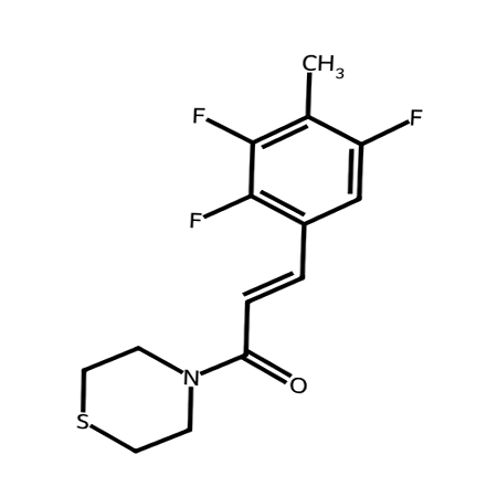 Cc1c(F)cc(C=CC(=O)N2CCSCC2)c(F)c1F